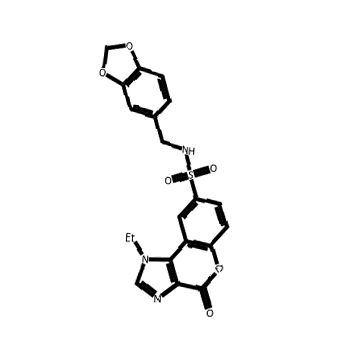 CCn1cnc2c(=O)oc3ccc(S(=O)(=O)NCc4ccc5c(c4)OCO5)cc3c21